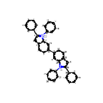 c1ccc(-c2cc3ccc(-c4ccc5cc(-c6ccccc6)n(-c6ccccc6)c5c4)cc3n2-c2ccccc2)cc1